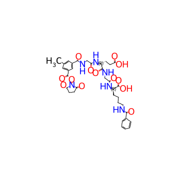 Cc1cc(C(=O)NCC(=O)N[C@H](CCC(=O)O)C(=O)NCC(=O)N[C@H](CCCCNC(=O)c2ccccc2)C(=O)O)cc(C(=O)ON2C(=O)CCC2=O)c1